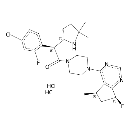 C[C@@H]1C[C@H](F)c2ncnc(N3CCN(C(=O)[C@@H](c4ccc(Cl)cc4F)[C@@H]4CCC(C)(C)N4)CC3)c21.Cl.Cl